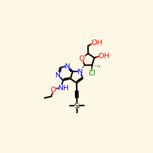 CCONc1ncnc2c1c(C#C[Si](C)(C)C)cn2[C@@H]1OC(CO)C(O)[C@@]1(C)Cl